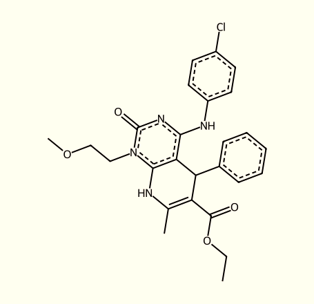 CCOC(=O)C1=C(C)Nc2c(c(Nc3ccc(Cl)cc3)nc(=O)n2CCOC)C1c1ccccc1